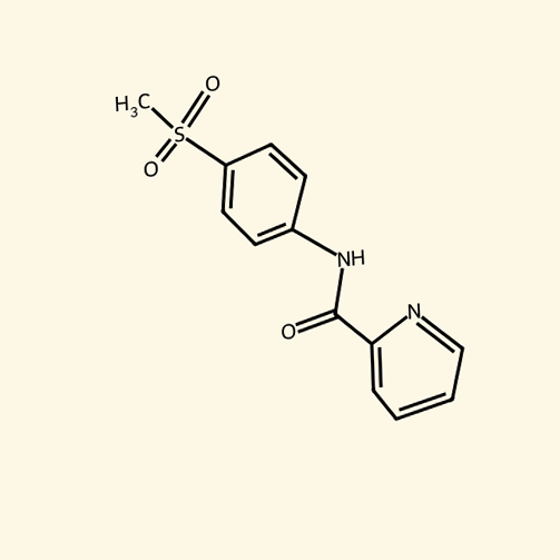 CS(=O)(=O)c1ccc(NC(=O)c2ccccn2)cc1